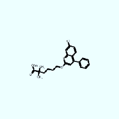 COC(=O)C(C)(C)CCCCOc1cc(-c2ccccc2)c2ccc(Cl)cc2n1